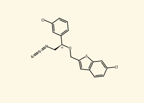 [N-]=[N+]=NC[C@H](OCc1cc2ccc(Cl)cc2s1)c1cccc(Cl)c1